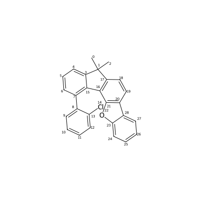 CC1(C)c2cccc(-c3ccccc3Cl)c2-c2c1ccc1c2oc2ccccc21